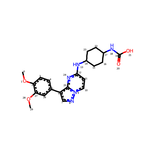 COc1ccc(-c2cnn3ccc(NC4CCC(NC(=O)O)CC4)nc23)cc1OC